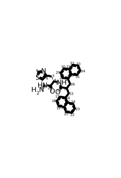 NNC(=O)[C@H](Cc1cscn1)NC(=O)C(Cc1cccc2ccccc12)Cc1cccc2ccccc12